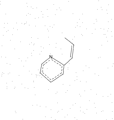 C/C=C\c1ccccn1